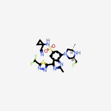 Cc1nc(-c2nnc(C(F)F)s2)c2cc(S(=O)(=O)NC3(C#N)CC3)cc(N3C[C@H](CF)N[C@@H](C)C3)c2n1